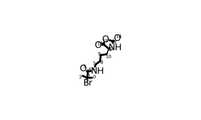 CC(C)(Br)C(=O)NCCCC[C@@H]1NC(=O)OC1=O